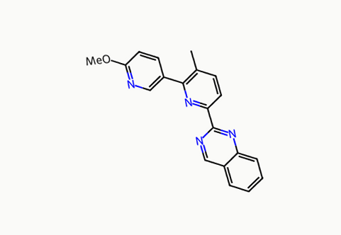 COc1ccc(-c2nc(-c3ncc4ccccc4n3)ccc2C)cn1